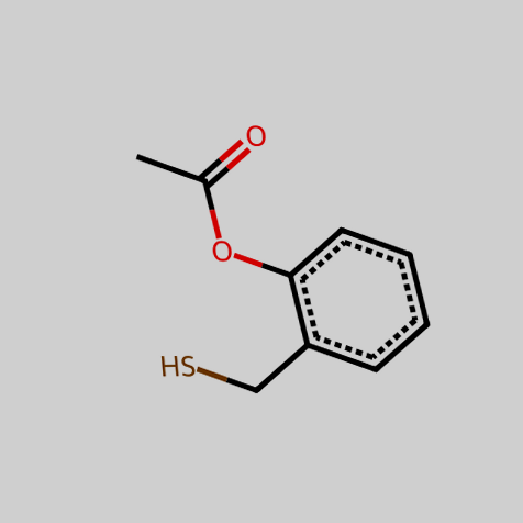 CC(=O)Oc1ccccc1CS